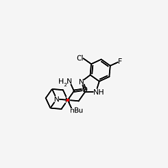 CCCCC(C(N)=O)N1C2CC1CN(Cc1nc3c(Cl)cc(F)cc3[nH]1)C2